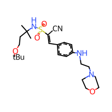 CC(C)(CCOC(C)(C)C)NS(=O)(=O)/C(C#N)=C/c1ccc(NCCN2CCOCC2)cc1